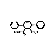 CC(C)COC(=O)C1C(c2ccccc2)C=CC(c2ccccc2)C1C(=O)O